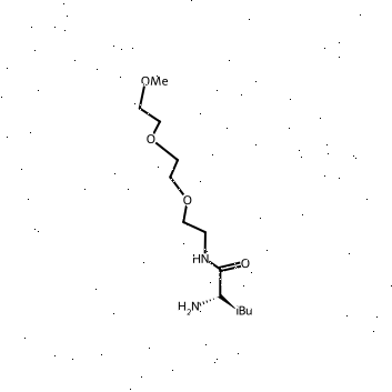 CC[C@H](C)[C@H](N)C(=O)NCCOCCOCCOC